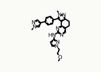 COCCn1ccc(Nc2ncc3c(n2)-c2c(nn(C)c2-c2ccc(-c4cnn(C)c4)cc2)CC3)n1